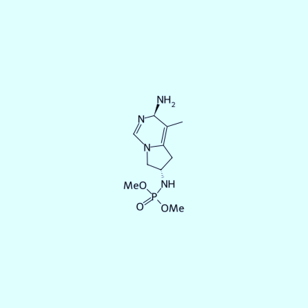 COP(=O)(N[C@H]1CC2=C(C)[C@H](N)N=CN2C1)OC